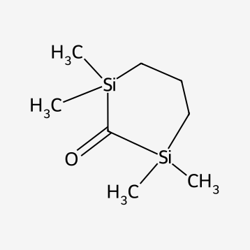 C[Si]1(C)CCC[Si](C)(C)C1=O